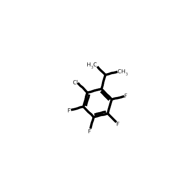 CC(C)c1c(F)c(F)c(F)c(F)c1Cl